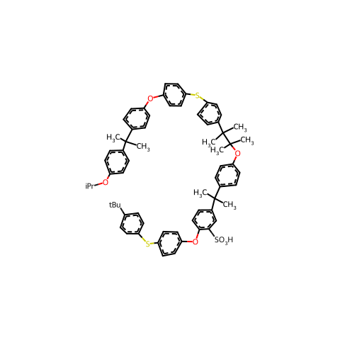 CC(C)Oc1ccc(C(C)(C)c2ccc(Oc3ccc(Sc4ccc(C(C)(C)C(C)(C)Oc5ccc(C(C)(C)c6ccc(Oc7ccc(Sc8ccc(C(C)(C)C)cc8)cc7)c(S(=O)(=O)O)c6)cc5)cc4)cc3)cc2)cc1